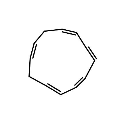 [C]1=CCC=CCC=CC=CC=C1